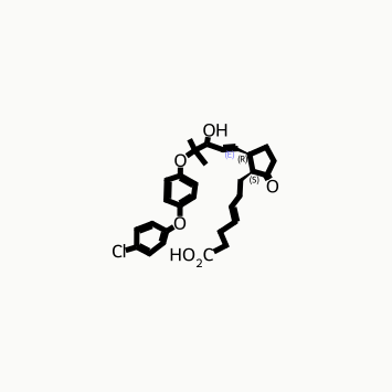 CC(C)(Oc1ccc(Oc2ccc(Cl)cc2)cc1)C(O)/C=C/[C@H]1CCC(=O)[C@H]1CCC=CCCC(=O)O